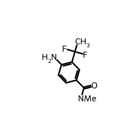 CNC(=O)c1ccc(N)c(C(C)(F)F)c1